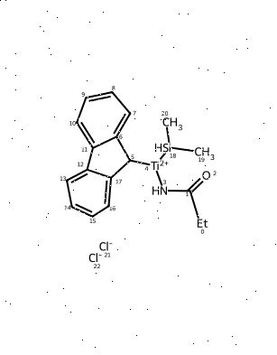 CCC(=O)[NH][Ti+2]([CH]1c2ccccc2-c2ccccc21)[SiH](C)C.[Cl-].[Cl-]